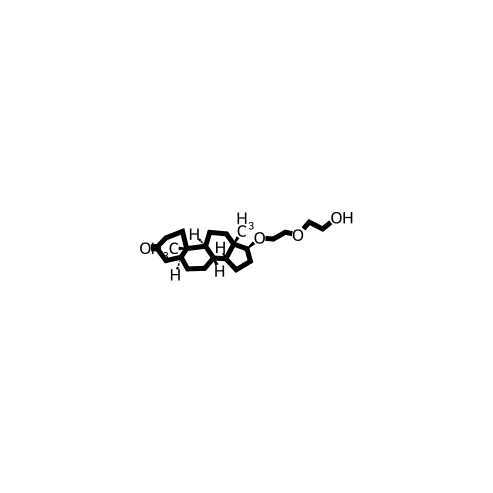 C[C@]12CCC(=O)C[C@@H]1CC[C@@H]1[C@@H]2CC[C@]2(C)[C@@H](OCCOCCO)CC[C@@H]12